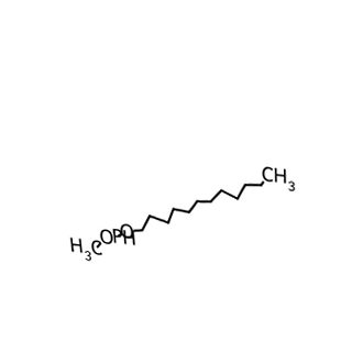 CCCCCCCCCCCCOPOC